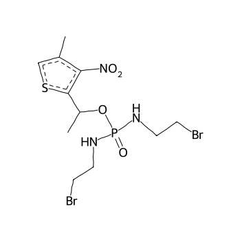 Cc1csc(C(C)OP(=O)(NCCBr)NCCBr)c1[N+](=O)[O-]